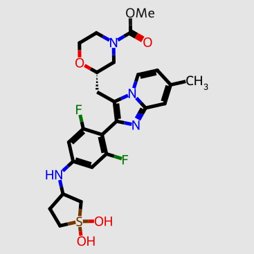 COC(=O)N1CCO[C@@H](Cc2c(-c3c(F)cc(NC4CCS(O)(O)C4)cc3F)nc3cc(C)ccn23)C1